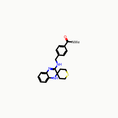 CNC(=O)c1ccc(CNC2=Nc3ccccc3NC23CCSCC3)cc1